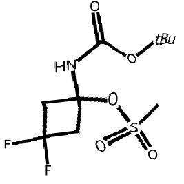 CC(C)(C)OC(=O)NC1(OS(C)(=O)=O)CC(F)(F)C1